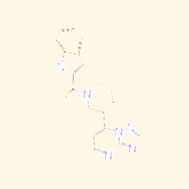 Cc1cc(C2CCCN(C(=O)c3cc4ccccc4n3C)C2)n2ncnc2n1